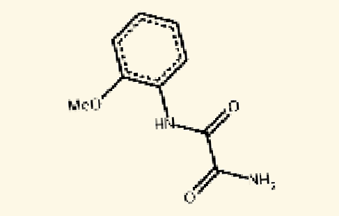 COc1ccccc1NC(=O)C(N)=O